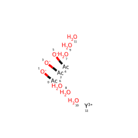 CC(=O)[O-].CC(=O)[O-].CC(=O)[O-].O.O.O.O.O.O.[Y+3]